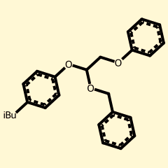 CCC(C)c1ccc(OC(COc2ccccc2)OCc2ccccc2)cc1